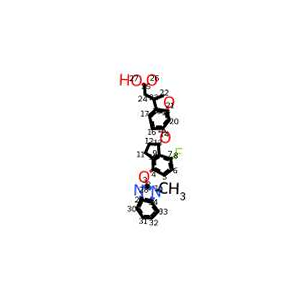 Cn1c(Oc2ccc(F)c3c2CC[C@H]3Oc2ccc3c(c2)OCC3CC(=O)O)nc2ccccc21